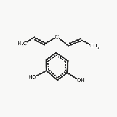 CC=COC=CC.Oc1cccc(O)c1